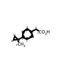 CC1(c2ccc(CC(=O)O)cc2)CC1